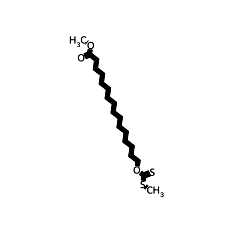 COC(=O)CCCCCCCCCCCCCCCOC(=S)SC